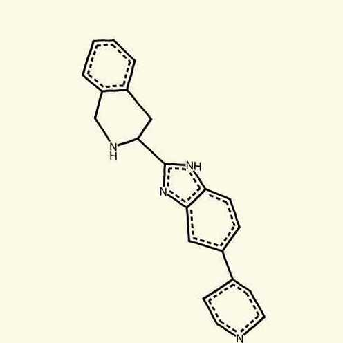 c1ccc2c(c1)CNC(c1nc3cc(-c4ccncc4)ccc3[nH]1)C2